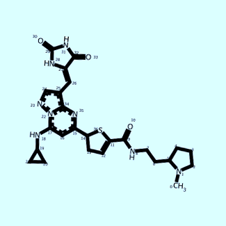 CN1CCCC1CCNC(=O)C1=CCC(c2cc(NC3CC3)n3ncc(/C=C4\NC(=O)NC4=O)c3n2)S1